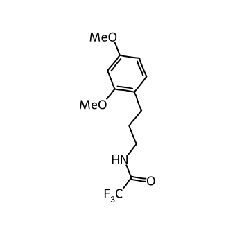 COc1ccc(CCCNC(=O)C(F)(F)F)c(OC)c1